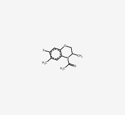 CC(=O)N1c2cc(C)c(F)cc2OCC1C